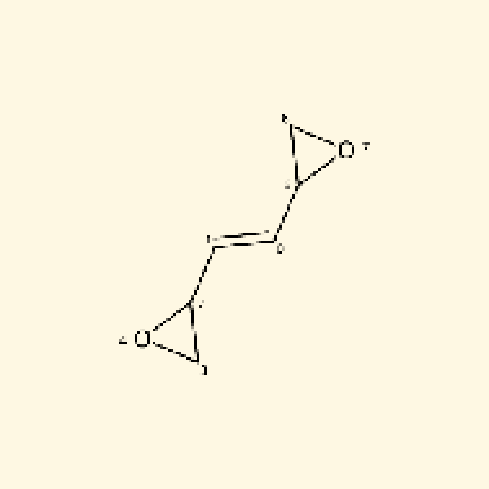 C(=CC1CO1)C1CO1